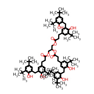 CC(C)(C)c1cc(Cc2cc(CCC(=O)OCC(COC(=O)CCc3cc(Cc4cc(C(C)(C)C)cc(C(C)(C)C)c4O)c(O)c(C(C)(C)C)c3)OC(=O)CCc3cc(Cc4cc(C(C)(C)C)cc(C(C)(C)C)c4O)c(O)c(C(C)(C)C)c3)cc(C(C)(C)C)c2O)c(O)c(C(C)(C)C)c1